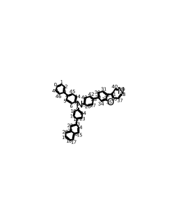 c1ccc(-c2ccc(N(c3ccc(-c4ccc5ccccc5c4)cc3)c3ccc(-c4ccc5c(c4)oc4ccncc45)cc3)cc2)cc1